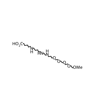 COCCOCCOCCOCCOCCCNCCNCCCCCNCCCCCC(=O)O